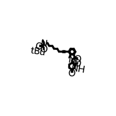 CN(CCCCCCC#Cc1cccc2c1CN(C1CCC(=O)NC1=O)C2=O)C(=O)OC(C)(C)C